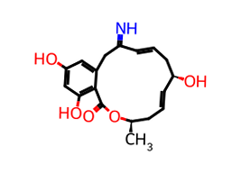 C[C@@H]1C/C=C/[C@H](O)C/C=C/C(=N)Cc2cc(O)cc(O)c2C(=O)O1